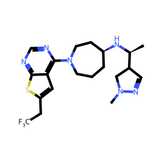 C[C@H](N[C@H]1CCCN(c2ncnc3sc(CC(F)(F)F)cc23)CC1)C1C=NN(C)C1